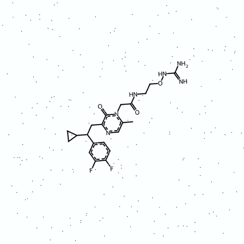 Cc1cnc(CC(c2ccc(F)c(F)c2)C2CC2)c(=O)n1CC(=O)NCCONC(=N)N